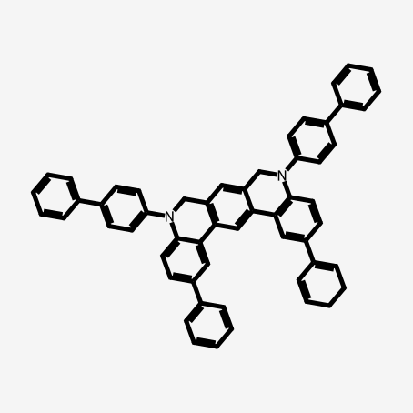 C1=CC(c2ccc3c(c2)-c2cc4c(cc2CN3c2ccc(-c3ccccc3)cc2)CN(c2ccc(-c3ccccc3)cc2)c2ccc(-c3ccccc3)cc2-4)=CCC1